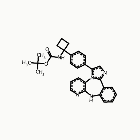 CC(C)(C)OC(=O)NC1(c2ccc(-c3cnc4n3-c3cccnc3Nc3ccccc3-4)cc2)CCC1